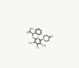 CCc1c(C#N)c(SC(C(N)=O)c2ccccc2)nc(N2CCC(=O)CC2)c1C#N